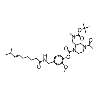 COc1cc(CNC(=O)CCCC/C=C/C(C)C)ccc1OC(=O)N1CCN(C(C)=O)CC1CN(C)C(=O)OC(C)(C)C